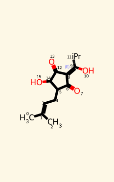 CC(C)=CCC1C(=O)/C(=C(\O)C(C)C)C(=O)C1O